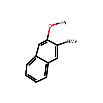 CCCOc1cc2ccccc2cc1NC